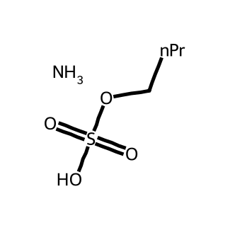 CCCCOS(=O)(=O)O.N